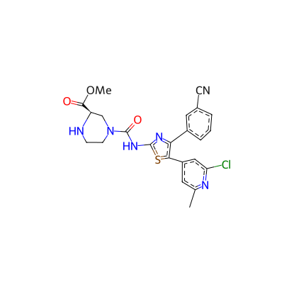 COC(=O)[C@H]1CN(C(=O)Nc2nc(-c3cccc(C#N)c3)c(-c3cc(C)nc(Cl)c3)s2)CCN1